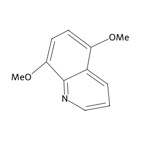 COc1ccc(OC)c2ncccc12